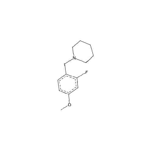 COc1ccc(CN2CCCCC2)c(F)c1